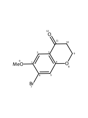 COc1cc2c(cc1Br)OCCC2=O